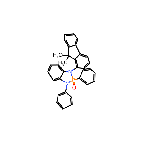 CC1(C)c2ccccc2-c2cccc(N3c4ccccc4N(c4ccccc4)P3(=O)c3ccccc3)c21